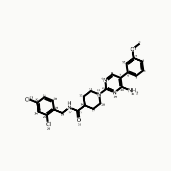 COc1cccc(-c2cnc(N3CCC(C(=O)NCc4ccc(Cl)cc4Cl)CC3)nc2N)c1